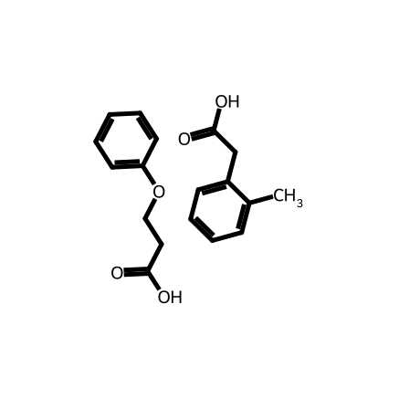 Cc1ccccc1CC(=O)O.O=C(O)CCOc1ccccc1